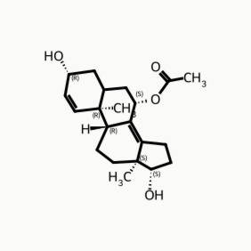 CC(=O)O[C@H]1CC2C[C@@H](O)C=C[C@]2(C)[C@H]2CC[C@@]3(C)C(=C12)CC[C@@H]3O